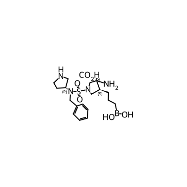 N[C@@]1(C(=O)O)CN(S(=O)(=O)N(Cc2ccccc2)[C@@H]2CCNC2)C[C@@H]1CCCB(O)O